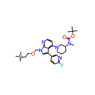 CN(C(=O)OC(C)(C)C)[C@H]1CCCN(c2ccnc3c2c(-c2ccc(F)nc2)cn3COCC[Si](C)(C)C)C1